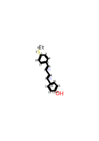 CCSc1ccc(/C=C/C=C/c2ccc(O)cc2)cc1